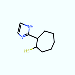 SC1CCCCCC1c1ncc[nH]1